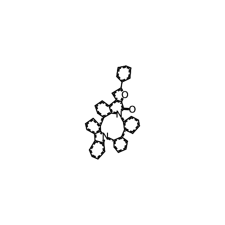 O=c1c2oc(-c3ccccc3)cc2c2cccc3c4cccc5c6ccccc6n(c6ccccc6c6ccccc6n1c23)c45